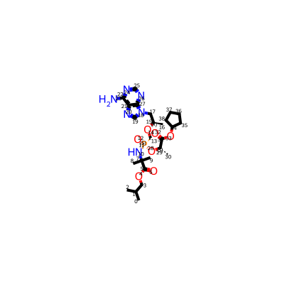 CC(C)COC(=O)C(C)(C)N[P@](=O)(CO[C@H](C)Cn1cnc2c(N)ncnc21)O[C@@H](C)C(=O)OC1CCCC1